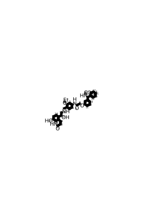 CCOc1cc(NC(=O)COc2cccc([C@@H](NC(=O)O)c3ccccc3)c2)ccc1CNC[C@H](O)c1ccc(O)c2[nH]c(=O)ccc12